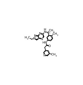 CCn1cc2ncc(N[C@@H](C)c3cc(NC(=O)Cc4cncc(C)c4)ccc3C)nc2n1